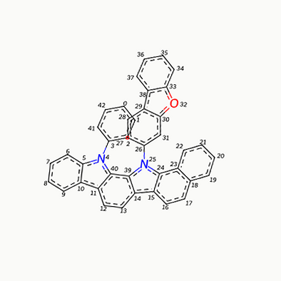 c1ccc(-n2c3ccccc3c3ccc4c5ccc6ccccc6c5n(-c5ccc6c(c5)oc5ccccc56)c4c32)cc1